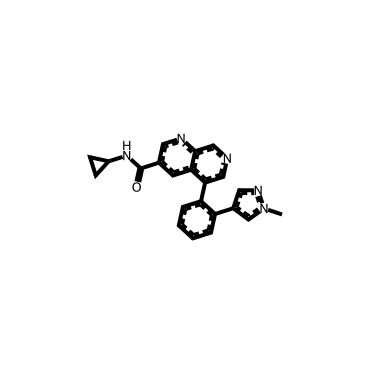 Cn1cc(-c2ccccc2-c2cncc3ncc(C(=O)NC4CC4)cc23)cn1